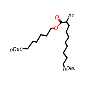 CCCCCCCCCCCCCCCCCCC(C(C)=O)C(=O)OCCCCCCCCCCCCCCCC